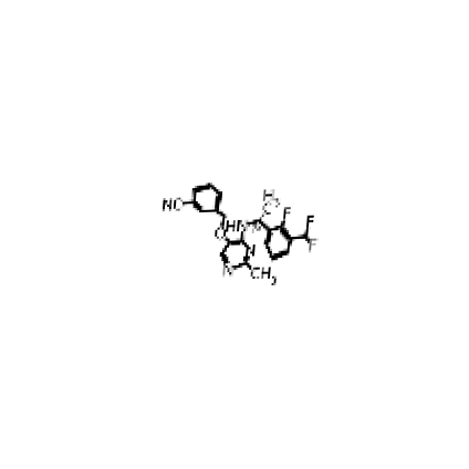 Cc1ncc(OCc2cccc(C#N)c2)c(N[C@H](C)c2cccc(C(F)F)c2F)n1